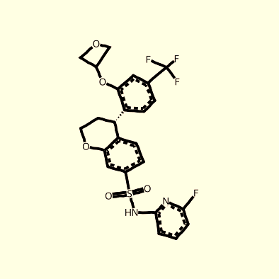 O=S(=O)(Nc1cccc(F)n1)c1ccc2c(c1)OCC[C@@H]2c1ccc(C(F)(F)F)cc1OC1COC1